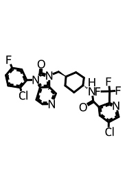 O=C(N[C@H]1CC[C@H](Cn2c(=O)n(-c3cc(F)ccc3Cl)c3ccncc32)CC1)c1cc(Cl)cnc1C(F)(F)F